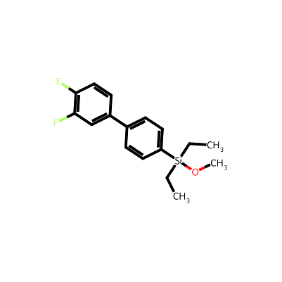 CC[Si](CC)(OC)c1ccc(-c2ccc(F)c(F)c2)cc1